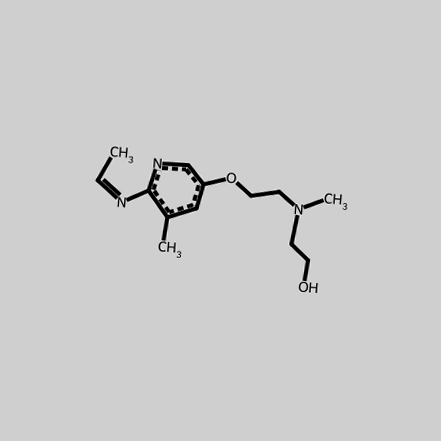 C/C=N\c1ncc(OCCN(C)CCO)cc1C